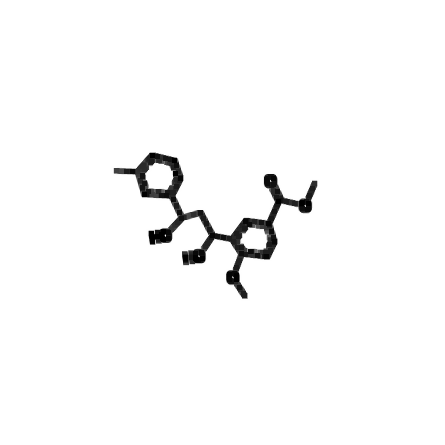 COC(=O)c1ccc(OC)c(C(O)CC(O)c2cccc(C)c2)c1